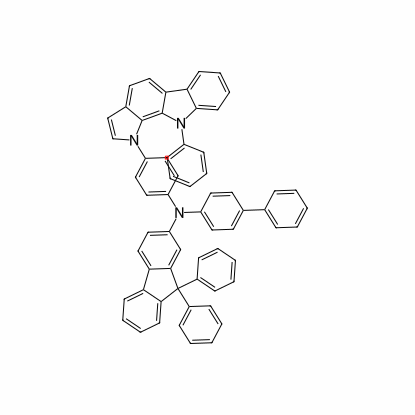 c1ccc(-c2ccc(N(c3ccc(-n4ccc5ccc6c7ccccc7n(-c7ccccc7)c6c54)cc3)c3ccc4c(c3)C(c3ccccc3)(c3ccccc3)c3ccccc3-4)cc2)cc1